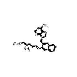 COC[C@H](N)CCCOc1cc2ccccc2cc1Cn1cnc2c(N)ncnc21